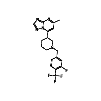 Cc1cc(C2CCCN(Cc3ccc(C(F)(F)F)c(F)c3)C2)n2ncnc2n1